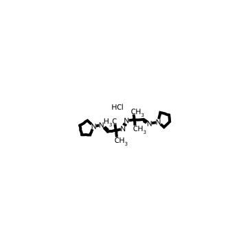 CC(C)(/C=N/N1CCCC1)/N=N/C(C)(C)/C=N/N1CCCC1.Cl